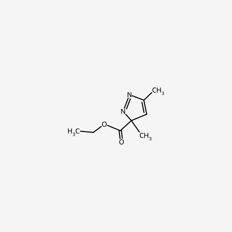 CCOC(=O)C1(C)C=C(C)N=N1